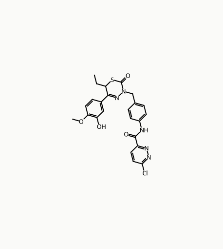 CCC1SC(=O)N(Cc2ccc(NC(=O)c3ccc(Cl)nn3)cc2)N=C1c1ccc(OC)c(O)c1